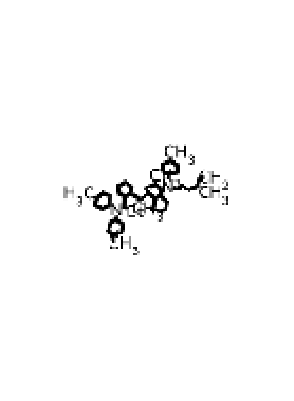 C=C/C(C)=C\C=C\N(c1ccc(C)cc1)c1c(C)cc(/C(C)=c2\cccc\c2=C(\CC)N(c2ccc(C)cc2)c2ccc(C)cc2)c2ccccc12